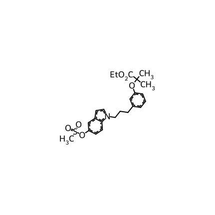 CCOC(=O)C(C)(C)Oc1cccc(CCCn2ccc3cc(OS(C)(=O)=O)ccc32)c1